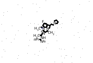 C=C(NC(CCC)CCC)c1nc(C(=C)N2CC(CCN3CCCC3)c3cc(F)ccc32)c(/N=C\C)s1